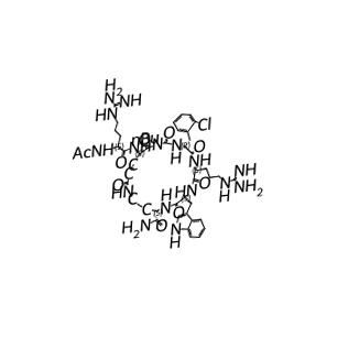 CCCCN1C(=O)N[C@H](Cc2ccccc2Cl)C(=O)N[C@@H](CCCNC(=N)N)C(=O)N[C@@H](Cc2c[nH]c3ccccc23)C(=O)N[C@H](C(N)=O)CCCNC(=O)CC[C@H](NC(=O)[C@H](CCCNC(=N)N)NC(C)=O)C1=O